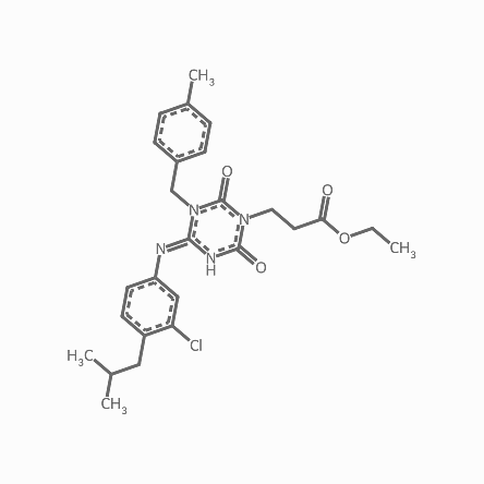 CCOC(=O)CCn1c(=O)[nH]/c(=N\c2ccc(CC(C)C)c(Cl)c2)n(Cc2ccc(C)cc2)c1=O